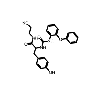 N#CCCNC(=O)C(Cc1ccc(O)cc1)NC(=O)Nc1ccccc1Oc1ccccc1